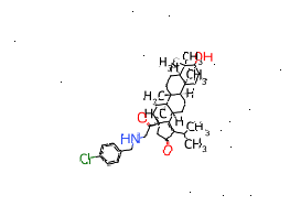 CC(C)C1=C2[C@H]3CC[C@@H]4[C@@]5(C)CC[C@H](O)C(C)(C)[C@@H]5CC[C@@]4(C)[C@]3(C)CC[C@@]2(C(=O)CNCc2ccc(Cl)cc2)CC1=O